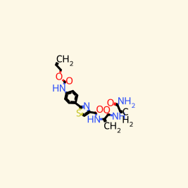 C=CCOC(=O)Nc1ccc(-c2nc(C(=O)NC(=C)C(=O)NC(=C)C(N)=O)cs2)cc1